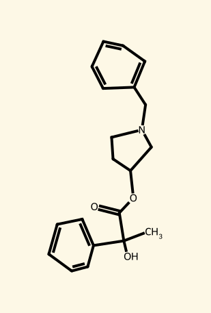 CC(O)(C(=O)OC1CCN(Cc2ccccc2)C1)c1ccccc1